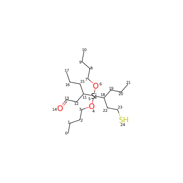 CCCCO[Si](OCCCC)(C(CC=O)CCC)C(CCC)CCS